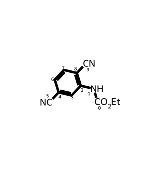 CCOC(=O)Nc1cc(C#N)ccc1C#N